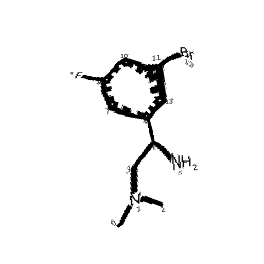 CN(C)CC(N)c1cc(F)cc(Br)c1